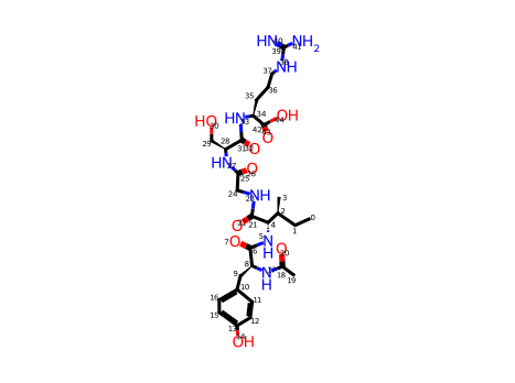 CC[C@H](C)[C@H](NC(=O)[C@H](Cc1ccc(O)cc1)NC(C)=O)C(=O)NCC(=O)N[C@@H](CO)C(=O)N[C@@H](CCCNC(=N)N)C(=O)O